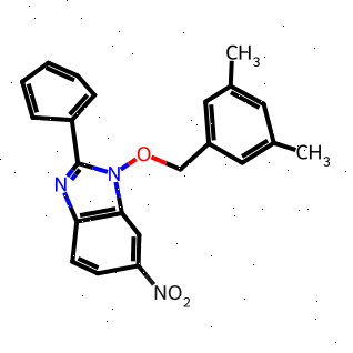 Cc1cc(C)cc(COn2c(-c3ccccc3)nc3ccc([N+](=O)[O-])cc32)c1